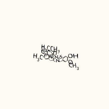 COc1cc(CN(CC(COC(=O)C(C)(C)C)Cc2ccc(C)c(C)c2)C(N)=S)ccc1O